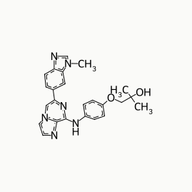 Cn1cnc2ccc(-c3cn4ccnc4c(Nc4ccc(OCC(C)(C)O)cc4)n3)cc21